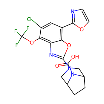 O=C(O)N1C2CCC1CN(c1nc3c(OC(F)(F)F)c(Cl)cc(-c4ncco4)c3o1)C2